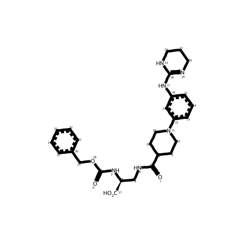 O=C(N[C@@H](CNC(=O)C1CCN(c2cccc(NC3=NCCCN3)c2)CC1)C(=O)O)OCc1ccccc1